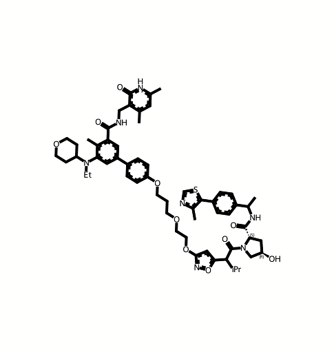 CCN(c1cc(-c2ccc(OCCCOCCOc3cc(C(C(=O)N4C[C@H](O)C[C@H]4C(=O)NC(C)c4ccc(-c5scnc5C)cc4)C(C)C)on3)cc2)cc(C(=O)NCc2c(C)cc(C)[nH]c2=O)c1C)C1CCOCC1